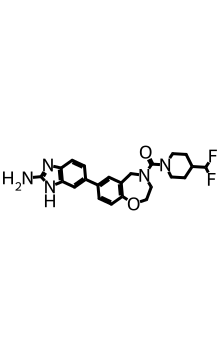 Nc1nc2ccc(-c3ccc4c(c3)CN(C(=O)N3CCC(C(F)F)CC3)CCO4)cc2[nH]1